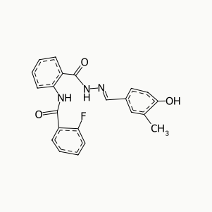 Cc1cc(C=NNC(=O)c2ccccc2NC(=O)c2ccccc2F)ccc1O